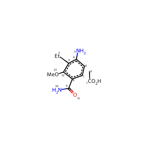 CC(=O)O.CCc1c(N)ccc(C(N)=O)c1OC